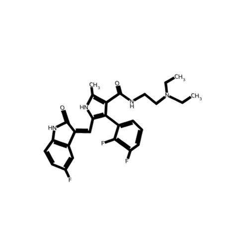 CCN(CC)CCNC(=O)c1c(C)[nH]c(C=C2C(=O)Nc3ccc(F)cc32)c1-c1cccc(F)c1F